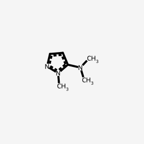 CN(C)c1ccnn1C